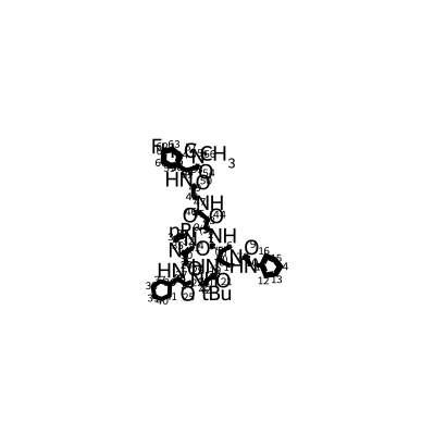 CCC[C@H](NC(=O)[C@@H]1CN(C(=O)Nc2ccccc2)C[C@@H]1NC(=O)[C@@H](NC(=O)[C@@H](NC(=O)c1cnccn1)C1CCCCC1)C(C)(C)C)C(=O)C(=O)NCC(=O)N[C@H](C(=O)N(C)C)c1ccc(F)cc1